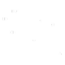 Cc1cc2oc(C)c(-c3ccc(Br)cc3)c(=O)c2cc1C(C)C